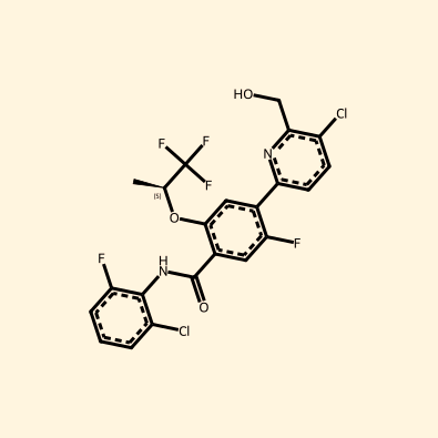 C[C@H](Oc1cc(-c2ccc(Cl)c(CO)n2)c(F)cc1C(=O)Nc1c(F)cccc1Cl)C(F)(F)F